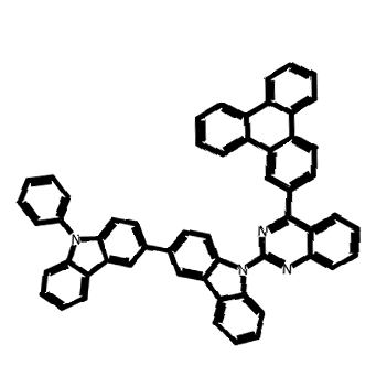 c1ccc(-n2c3ccccc3c3cc(-c4ccc5c(c4)c4ccccc4n5-c4nc(-c5ccc6c7ccccc7c7ccccc7c6c5)c5ccccc5n4)ccc32)cc1